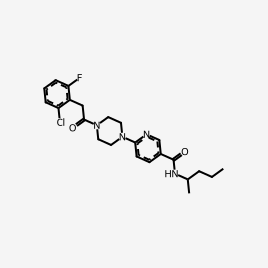 CCCC(C)NC(=O)c1ccc(N2CCN(C(=O)Cc3c(F)cccc3Cl)CC2)nc1